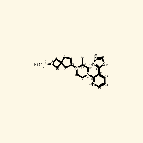 CCOC(=O)N1CC2(CCC(N3CCN(c4ncccc4-c4nncs4)C[C@@H]3C)C2)C1